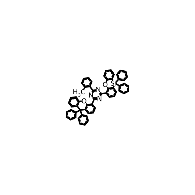 Cc1ccccc1-c1nc(-c2cccc3c2Oc2ccccc2C3(c2ccccc2)c2ccccc2)nc(-c2cccc3c2Oc2ccccc2[Si]3(c2ccccc2)c2ccccc2)n1